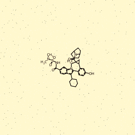 CN1CC2CCC(C1)N2C(=O)C12CC1c1cc(O)ccc1-c1c(C3CCCCC3)c3ccc(C(=O)NS(=O)(=O)N(C)C)cc3n1C2